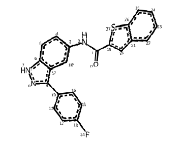 O=C(Nc1ccc2[nH]nc(-c3ccc(F)cc3)c2c1)c1cc2ccccc2s1